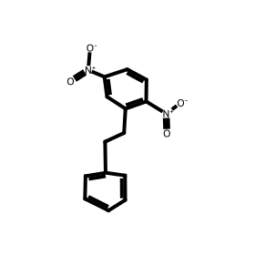 O=[N+]([O-])c1ccc([N+](=O)[O-])c(CCc2ccccc2)c1